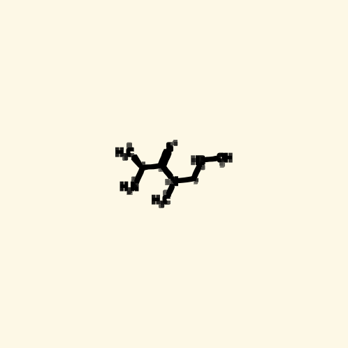 C[C@H](N)C(=S)N(C)CBO